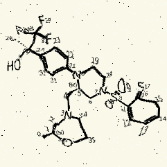 C[C@H]1CN(C[C@@H]2CN(S(=O)(=O)C3=CC=CCC3=S)CCN2c2ccc([C@@](C)(O)C(F)(F)F)cc2)CCO1